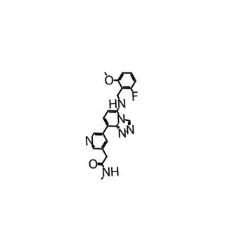 CNC(=O)Cc1cncc(-c2ccc(NCc3c(F)cccc3OC)n3cnnc23)c1